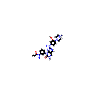 C=CC(=O)Nc1cccc(N2C(=O)N(C)Cc3cnc(Nc4ccc(N5CCN(C)CC5)c(OC)c4)nc32)c1